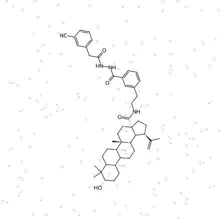 C=C(C)[C@@H]1CC[C@]2(C(=O)NCCc3cccc(C(=O)NNC(=O)Cc4cccc(C#N)c4)c3)CC[C@]3(C)C(CCC4[C@@]5(C)CC[C@H](O)C(C)(C)C5CC[C@]43C)C12